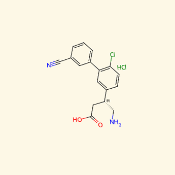 Cl.N#Cc1cccc(-c2cc([C@H](CN)CC(=O)O)ccc2Cl)c1